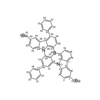 CC(C)(C)c1ccc2c(c1)c1cccc3c1n2-c1cc(-c2ccccc2)cc2c1B3c1ccc(-c3ccccc3)c3c4cc(C(C)(C)C)ccc4n-2c13